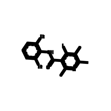 CCc1cccc(CC)c1NC(=O)c1c(C)nc(C)c(C)c1I